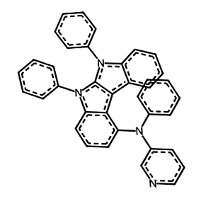 c1ccc(N(c2cccnc2)c2cccc3c2c2c4ccccc4n(-c4ccccc4)c2n3-c2ccccc2)cc1